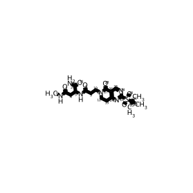 CNC(=O)CC(NC(=O)CCN1CCc2nc(S(=O)(=O)C(C)(C)C)ncc2C1=O)C(N)=O